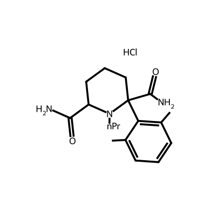 CCCN1C(C(N)=O)CCCC1(C(N)=O)c1c(C)cccc1C.Cl